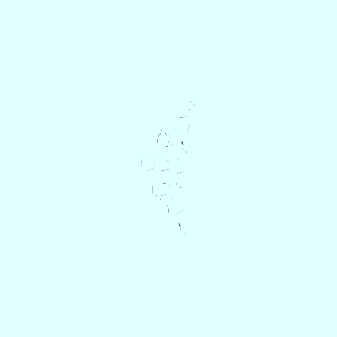 N#CC1=CCC(C#N)(c2nccc(-c3c4ccccc4c(-c4ccnc(C5(C#N)C=CC(C#N)=CC5)n4)c4ccccc34)n2)C=C1